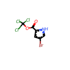 O=C(OC(Cl)(Cl)Cl)c1cc(Br)c[nH]1